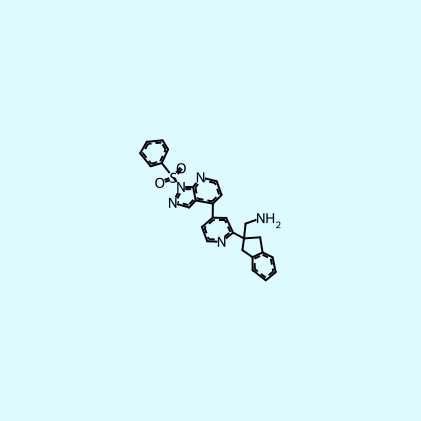 NCC1(c2cc(-c3ccnc4c3cnn4S(=O)(=O)c3ccccc3)ccn2)Cc2ccccc2C1